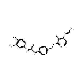 Cc1c(OCC(F)(F)F)ccnc1COc1ccc(NC(=O)Nc2ccc(Cl)c(C(F)(F)F)c2)cc1